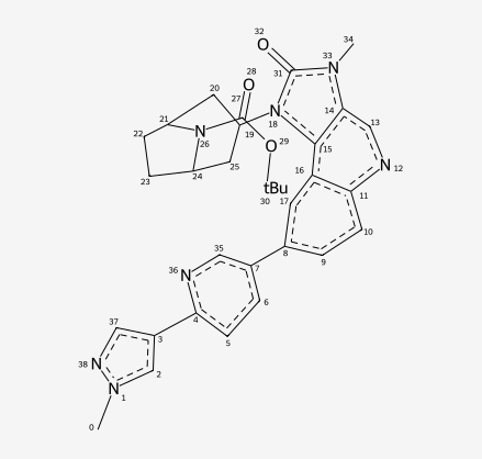 Cn1cc(-c2ccc(-c3ccc4ncc5c(c4c3)n(C3CC4CCC(C3)N4C(=O)OC(C)(C)C)c(=O)n5C)cn2)cn1